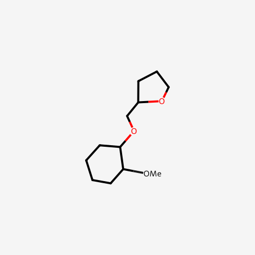 COC1CCCCC1OCC1CCCO1